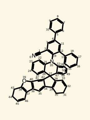 N#Cc1cc(-c2ccccc2)cc(-c2ccccc2)c1N1c2ccccc2C2(C3=C(CCC=C3)c3cc4c5c(oc4cc32)CCC=C5)c2ccccc21